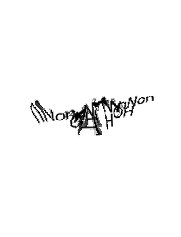 CCCCCCCCCC(O)CNCCCNCC(O)CCCCCCCCC